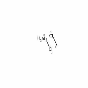 CCl.[Cl][SbH2]